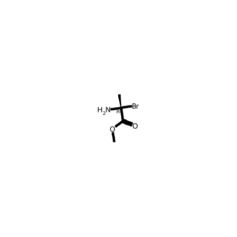 COC(=O)[C@](C)(N)Br